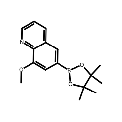 COc1cc(B2OC(C)(C)C(C)(C)O2)cc2cccnc12